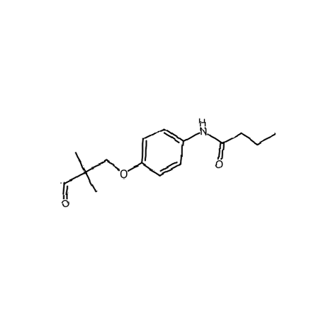 CCCC(=O)Nc1ccc(OCC(C)(C)[C]=O)cc1